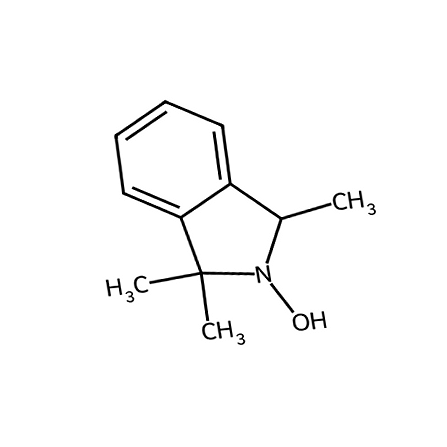 CC1c2ccccc2C(C)(C)N1O